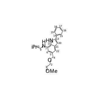 COCCOCc1cc(NCC(C)C)c2[nH]c(-c3ccccc3)cc2c1